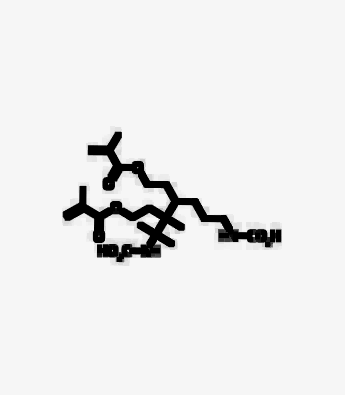 C=C(C)C(=O)OCCC(CCCNC(=O)O)C(C)(CCOC(=O)C(=C)C)C(C)(C)NC(=O)O